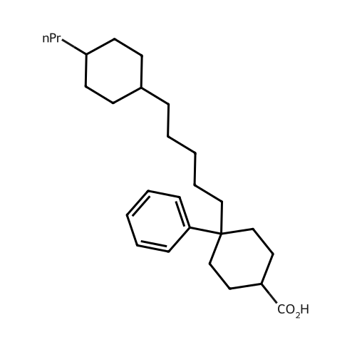 CCCC1CCC(CCCCCC2(c3ccccc3)CCC(C(=O)O)CC2)CC1